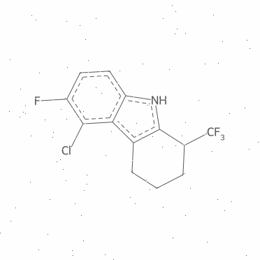 Fc1ccc2[nH]c3c(c2c1Cl)CCCC3C(F)(F)F